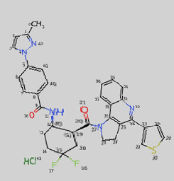 Cc1ccn(-c2ccc(C(=O)N[C@@H]3CCC(F)(F)C[C@@H]3C(=O)N3CCc4c(-c5ccsc5)nc5ccccc5c43)cc2)n1.Cl